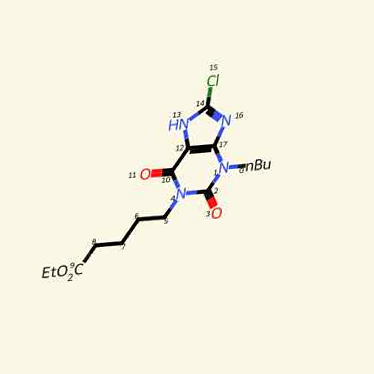 CCCCn1c(=O)n(CCCCC(=O)OCC)c(=O)c2[nH]c(Cl)nc21